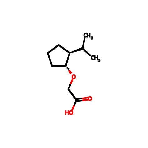 CC(C)[C@@H]1CCC[C@H]1OCC(=O)O